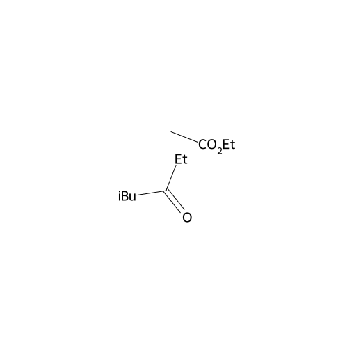 CCC(=O)C(C)CC.CCOC(C)=O